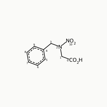 O=C(O)CN(Cc1ccccc1)[N+](=O)[O-]